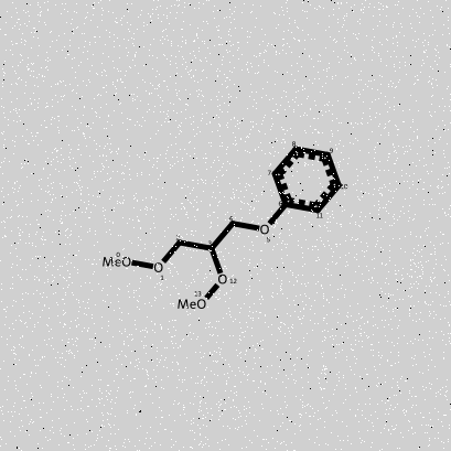 COOCC(COc1ccccc1)OOC